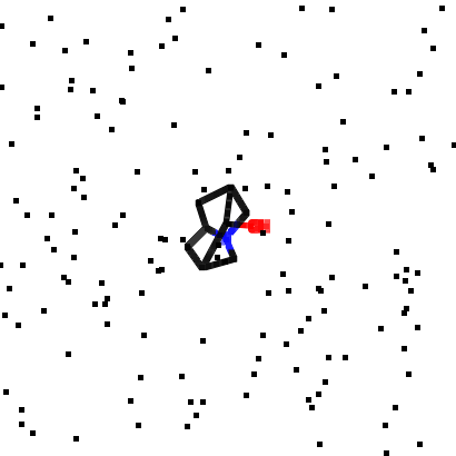 OC1C2CC3CC1CN3C2